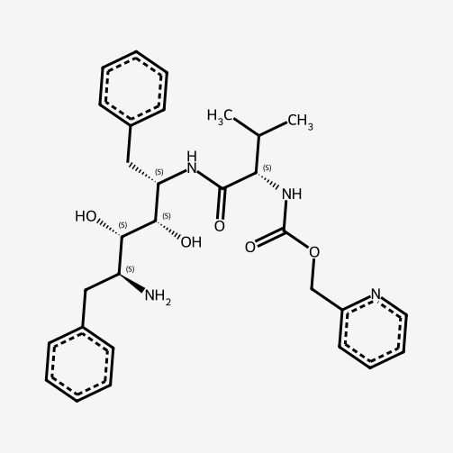 CC(C)[C@H](NC(=O)OCc1ccccn1)C(=O)N[C@@H](Cc1ccccc1)[C@H](O)[C@@H](O)[C@@H](N)Cc1ccccc1